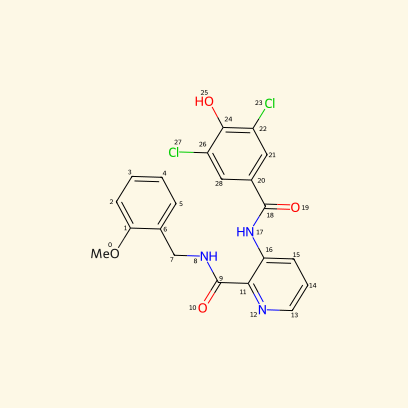 COc1ccccc1CNC(=O)c1ncccc1NC(=O)c1cc(Cl)c(O)c(Cl)c1